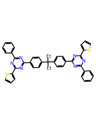 CCC(CC)(c1ccc(-c2nc(-c3ccccc3)nc(-c3cccs3)n2)cc1)c1ccc(-c2nc(-c3ccccc3)nc(-c3cccs3)n2)cc1